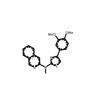 COc1ccc(-c2csc(N(C)c3cc4ccccc4cn3)n2)cc1OC